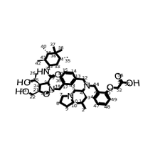 CC(C)C[C@@H](CN1CCCC1)N(Cc1cccc(CN2O[C@@H](CO)[C@@H]([C@H](C)O)[C@H]2C(=O)N[C@H]2C[C@@H](C)C(C)(C)[C@@H](C)[C@@H]2C)c1)Cc1ccccc1OCC(=O)O